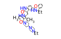 CC[C@@H](NC(=O)c1ccc2c(c1)C(=Cc1[nH]c(C)c(C(=O)N3CCC(N4CCN(CC)CC4)CC3)c1C)C(=O)N2)c1ccccc1